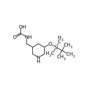 CC(C)(C)[Si](C)(C)OC1CNCC(CNC(=O)O)C1